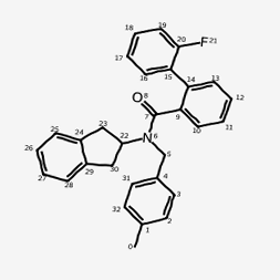 Cc1ccc(CN(C(=O)c2ccccc2-c2ccccc2F)C2Cc3ccccc3C2)cc1